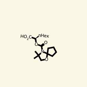 CCCCCC[C@@H](OC(=O)N1C(C)(C)COC12CCCC2)C(=O)O